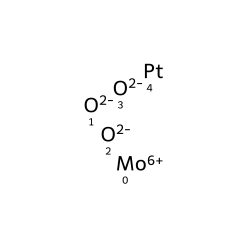 [Mo+6].[O-2].[O-2].[O-2].[Pt]